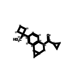 O=C(C1CC1)N1CC2CC2c2cc(C3(C(=O)O)CCC3)ccc21